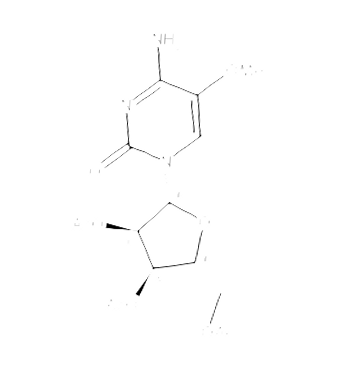 COc1cn([C@@H]2O[C@H](COC(C)=O)[C@@H](OC(C)=O)[C@H]2OC(C)=O)c(=O)nc1N